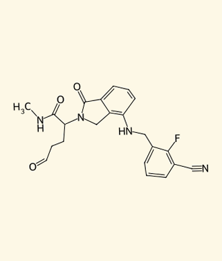 CNC(=O)C(CCC=O)N1Cc2c(NCc3cccc(C#N)c3F)cccc2C1=O